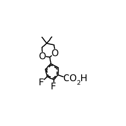 CC1(C)COC(c2cc(F)c(F)c(C(=O)O)c2)OC1